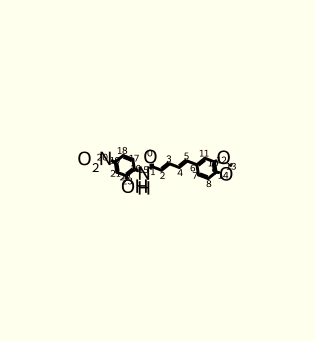 O=C(/C=C/C=C/c1ccc2c(c1)OCO2)Nc1ccc([N+](=O)[O-])cc1O